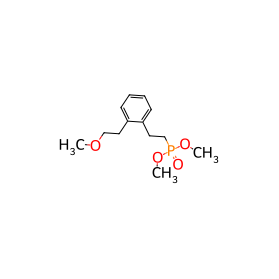 COCCc1ccccc1CCP(=O)(OC)OC